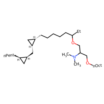 CCCCCCCCOCC(COC(CC)CCCCC[C@H]1C[C@H]1C[C@H]1C[C@H]1CCCCC)N(C)C